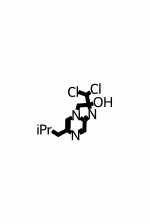 CC(C)CC1=CN2CC(O)(C(Cl)Cl)N=C2C=N1